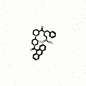 CN(C)CCN(Cc1ccccc1)C(=O)C1CCCN(C2CCN(C(=O)c3c4ccccc4cc4ccccc34)CC2)C1